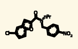 CCCN(Cc1ccc([N+](=O)[O-])cc1)C(=O)c1cc2cc(Cl)ccc2o1